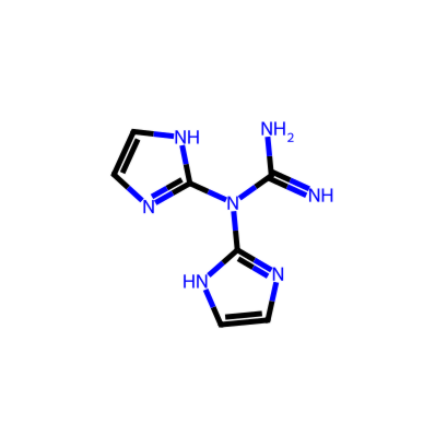 N=C(N)N(c1ncc[nH]1)c1ncc[nH]1